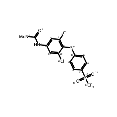 CNC(=O)Nc1cc(Cl)c(Sc2ccc(S(=O)(=O)C(F)(F)F)cc2)c(Cl)c1